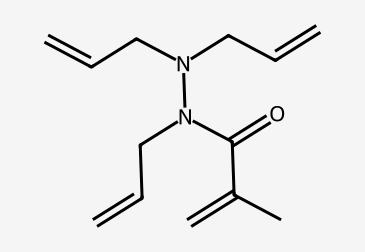 C=CCN(CC=C)N(CC=C)C(=O)C(=C)C